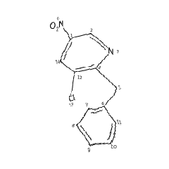 O=[N+]([O-])c1cnc(Cc2ccccc2)c(Cl)c1